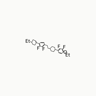 CCOc1ccc(C2CCC(CCc3ccc(C4=CCC(CC)CC4)c(F)c3F)CC2)c(F)c1F